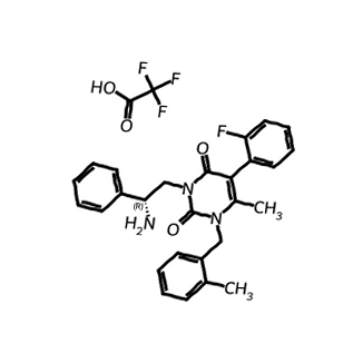 Cc1ccccc1Cn1c(C)c(-c2ccccc2F)c(=O)n(C[C@H](N)c2ccccc2)c1=O.O=C(O)C(F)(F)F